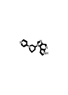 c1cc(N2CCCC(n3cnc4cnc5[nH]ccc5c43)C2)ccn1